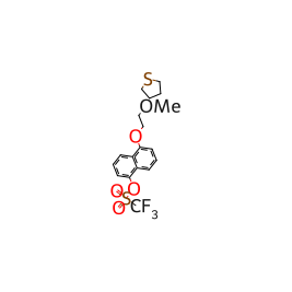 C1CCSC1.COCCOc1cccc2c(OS(=O)(=O)C(F)(F)F)cccc12